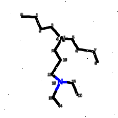 CCC[CH2][Al]([CH2]CCC)[CH2]CCN(CC)CC